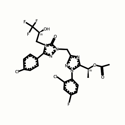 CC(=O)O[C@@H](C)c1nc(Cn2nc(-c3ccc(Cl)cc3)n(C[C@H](O)C(F)(F)F)c2=O)nn1-c1ccc(F)cc1Cl